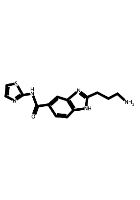 NCCCc1nc2cc(C(=O)Nc3nccs3)ccc2[nH]1